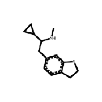 CNC(Cc1ccc2c(c1)SCC2)C1CC1